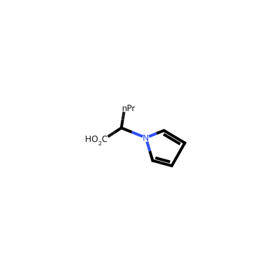 CCCC(C(=O)O)n1cccc1